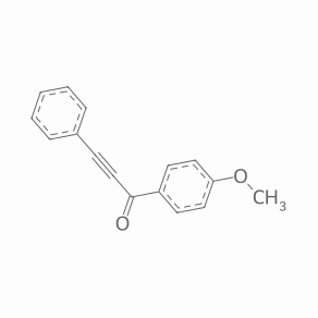 COc1ccc(C(=O)C#Cc2ccccc2)cc1